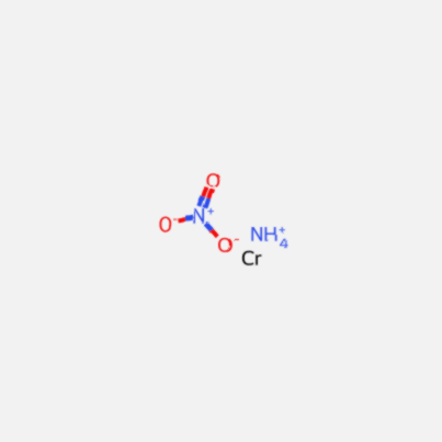 O=[N+]([O-])[O-].[Cr].[NH4+]